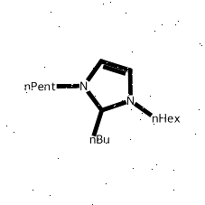 CCCCCCN1C=CN(CCCCC)C1CCCC